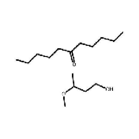 CCCCCC(=O)CCCCC.COC(C)CCO